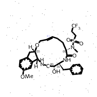 COc1ccc2c(c1)[C@H]1NC[C@@H](O)[C@H](Cc3ccccc3)NC(=O)[C@@H](N(C)S(=O)(=O)CCC(F)(F)F)CC/C=C/CO[C@H]1C2